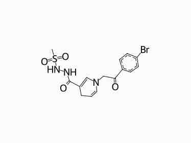 CS(=O)(=O)NNC(=O)C1=CN(CC(=O)c2ccc(Br)cc2)C=CC1